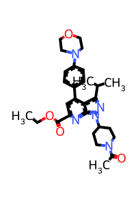 CCOC(=O)c1cc(-c2ccc(N3CCOCC3)cc2)c2c(C(C)C)nn(C3CCN(C(C)=O)CC3)c2n1